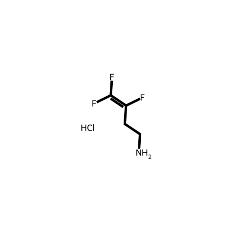 Cl.NCCC(F)=C(F)F